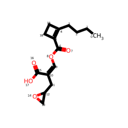 CCCCC1=C(C(=O)OC=C(CC2CO2)C(=O)O)CC1